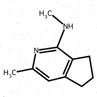 CNc1nc(C)cc2c1CCC2